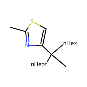 CCCCCCCC(C)(CCCCCC)c1csc(C)n1